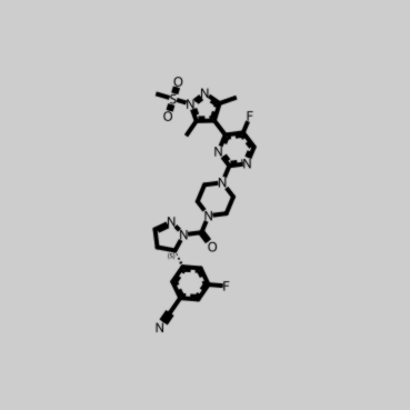 Cc1nn(S(C)(=O)=O)c(C)c1-c1nc(N2CCN(C(=O)N3N=CC[C@H]3c3cc(F)cc(C#N)c3)CC2)ncc1F